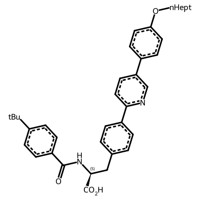 CCCCCCCOc1ccc(-c2ccc(-c3ccc(C[C@H](NC(=O)c4ccc(C(C)(C)C)cc4)C(=O)O)cc3)nc2)cc1